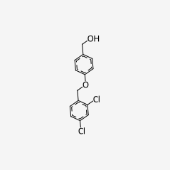 OCc1ccc(OCc2ccc(Cl)cc2Cl)cc1